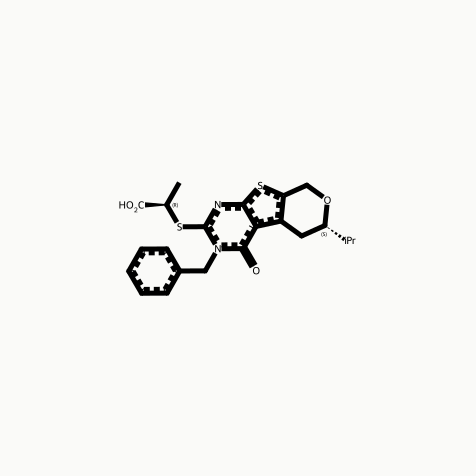 CC(C)[C@@H]1Cc2c(sc3nc(S[C@H](C)C(=O)O)n(Cc4ccccc4)c(=O)c23)CO1